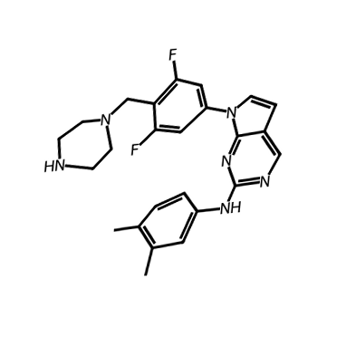 Cc1ccc(Nc2ncc3ccn(-c4cc(F)c(CN5CCNCC5)c(F)c4)c3n2)cc1C